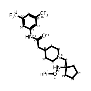 CCCONC1(CN2CCC(CC(=O)Nc3cc(C(F)(F)F)cc(C(F)(F)F)c3)CC2)CCCC1